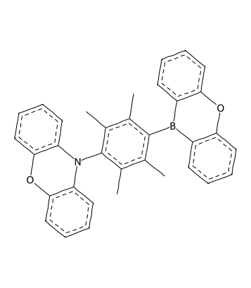 Cc1c(C)c(N2c3ccccc3Oc3ccccc32)c(C)c(C)c1B1c2ccccc2Oc2ccccc21